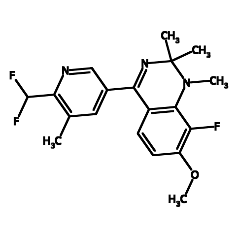 COc1ccc2c(c1F)N(C)C(C)(C)N=C2c1cnc(C(F)F)c(C)c1